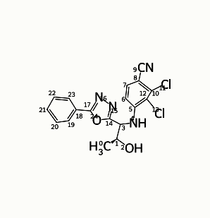 C[C@H](O)C(Nc1ccc(C#N)c(Cl)c1Cl)c1nnc(-c2ccccc2)o1